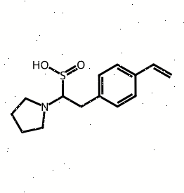 C=Cc1ccc(CC(N2CCCC2)S(=O)O)cc1